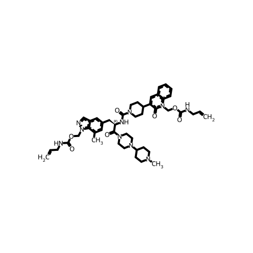 C=CCNC(=O)OCn1ncc2cc(C[C@@H](NC(=O)N3CCC(c4cc5ccccc5n(COC(=O)NCC=C)c4=O)CC3)C(=O)N3CCN(C4CCN(C)CC4)CC3)cc(C)c21